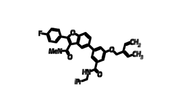 C=C/C(=C\C)COc1cc(C(=O)NCC(C)C)cc(-c2ccc3oc(-c4ccc(F)cc4)c(C(=O)NC)c3c2)c1